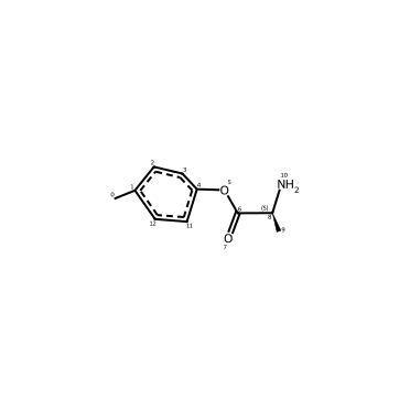 Cc1ccc(OC(=O)[C@H](C)N)cc1